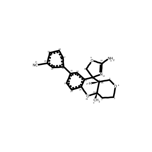 C[C@]12CCOC[C@H]1C1(COC(N)=N1)c1cc(-c3cccc(C#N)c3)ccc1O2